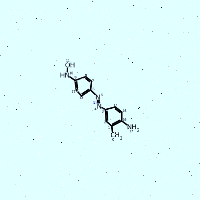 Cc1cc(/N=N/c2ccc(NO)cc2)ccc1N